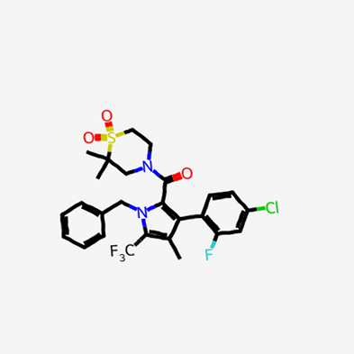 Cc1c(-c2ccc(Cl)cc2F)c(C(=O)N2CCS(=O)(=O)C(C)(C)C2)n(Cc2ccccc2)c1C(F)(F)F